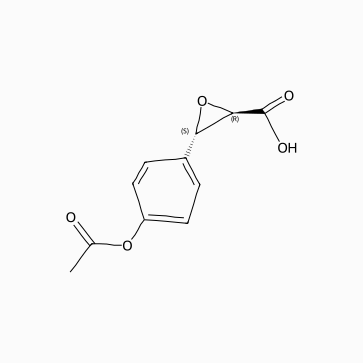 CC(=O)Oc1ccc([C@@H]2O[C@H]2C(=O)O)cc1